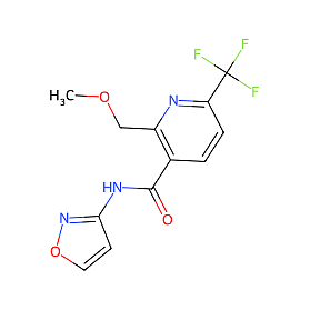 COCc1nc(C(F)(F)F)ccc1C(=O)Nc1ccon1